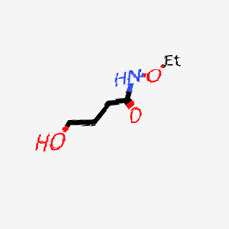 CCONC(=O)CCCO